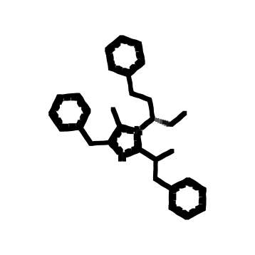 CC[C@@H](CCc1ccccc1)n1c(C(C)Cc2ccccc2)nc(Cc2ccccc2)c1C